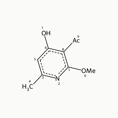 COc1nc(C)cc(O)c1C(C)=O